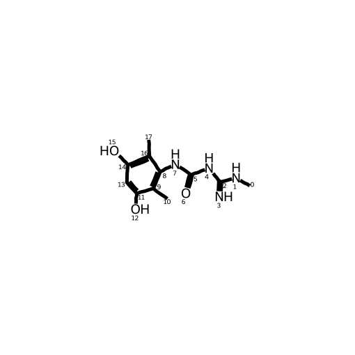 CNC(=N)NC(=O)Nc1c(C)c(O)cc(O)c1C